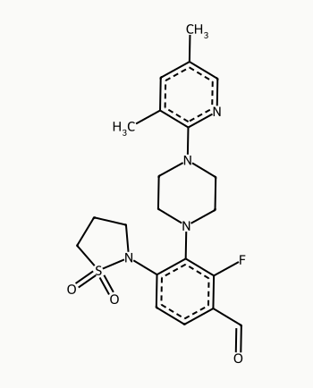 Cc1cnc(N2CCN(c3c(N4CCCS4(=O)=O)ccc(C=O)c3F)CC2)c(C)c1